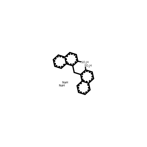 O=S(=O)(O)c1ccc2ccccc2c1Cc1c(S(=O)(=O)O)ccc2ccccc12.[NaH].[NaH]